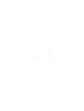 Cc1ccc(NCC(O)Cn2c3ccc(Cl)cc3c3cc(Cl)ccc32)cc1